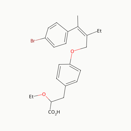 CCOC(Cc1ccc(OCC(CC)=C(C)c2ccc(Br)cc2)cc1)C(=O)O